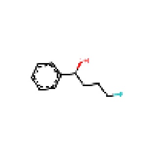 O[C@@H](CCCF)c1ccccc1